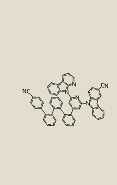 N#Cc1ccc(-c2ccccc2-c2ccccc2-c2ccccc2-c2cc(-n3c4ccccc4c4cc(C#N)ccc43)nc(-n3c4ccccc4c4cccnc43)c2)cc1